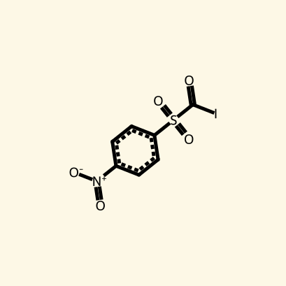 O=C(I)S(=O)(=O)c1ccc([N+](=O)[O-])cc1